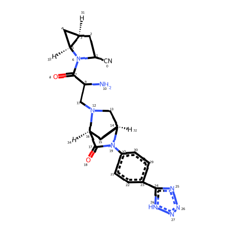 N#CC1C[C@@H]2C[C@@H]2N1C(=O)C(N)CN1C[C@@H]2C[C@H]1C(=O)N2c1ccc(-c2nnn[nH]2)cc1